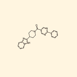 O=C(c1cnc(-c2ccccc2)nc1)N1CCC(c2nc3ccccc3[nH]2)CC1